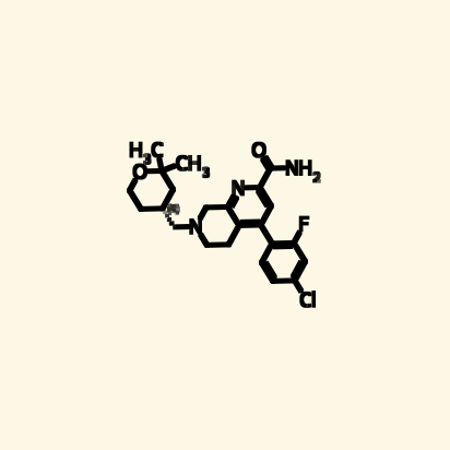 CC1(C)C[C@H](CN2CCc3c(-c4ccc(Cl)cc4F)cc(C(N)=O)nc3C2)CCO1